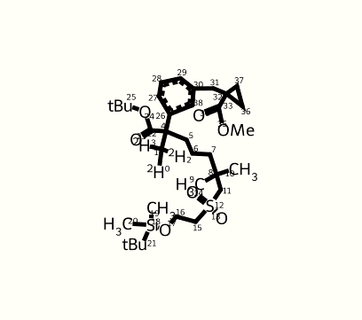 [2H]C([2H])([2H])C(CCCC(C)(C)CS(=O)(=O)CCO[Si](C)(C)C(C)(C)C)(C(=O)OC(C)(C)C)c1cccc(CC2(C(=O)OC)CC2)c1